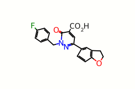 O=C(O)c1cc(-c2ccc3c(c2)CCO3)nn(Cc2ccc(F)cc2)c1=O